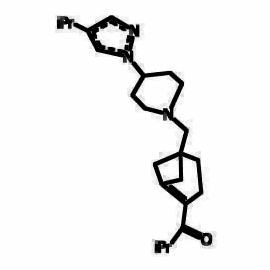 CC(C)C(=O)C1=C2CC(CN3CCC(n4cc(C(C)C)cn4)CC3)(CC1)C2